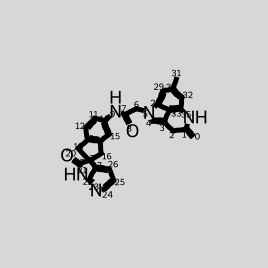 C=C1Cc2cn(CC(=O)Nc3ccc4c(c3)CC3(C4)C(=O)Nc4ncccc43)c3cc(C)cc(c23)N1